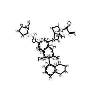 C=CC(=O)N1CCC2[C@H]1CN2c1nc(OC[C@@H]2CCCN2C)nc2c(F)c(-c3cccc4c3CCCC4)c(F)cc12